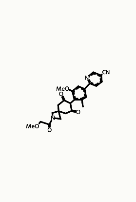 COCC(=O)N1CC2(CC(=O)C(c3c(C)cc(-c4ccc(C#N)cn4)cc3OC)C(=O)C2)C1